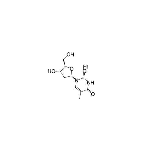 Cc1cn([C@H]2C[C@H](O)[C@@H](CO)O2)c(=O)[nH]c1=O.I